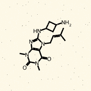 CC(C)=CCn1c(NC2CC(N)C2)nc2c1c(=O)n(C)c(=O)n2C